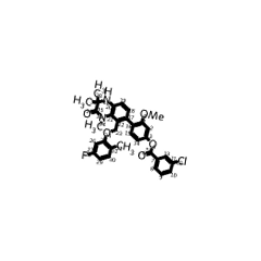 COc1cc(OC(=O)c2cccc(Cl)c2)ccc1-c1ccc2c(c1COc1cc(F)ccc1C)N(C)C(=O)C(C)(C)N2